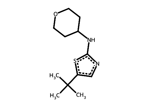 CC(C)(C)c1cnc(NC2CCOCC2)s1